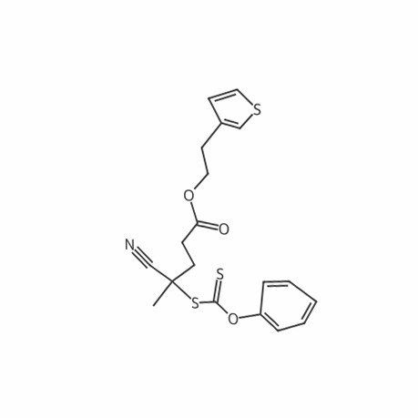 CC(C#N)(CCC(=O)OCCc1ccsc1)SC(=S)Oc1ccccc1